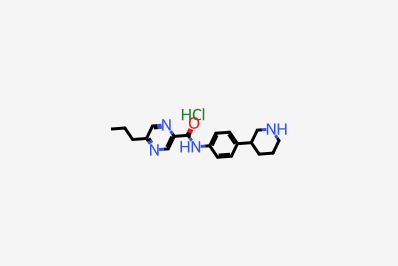 CCCc1cnc(C(=O)Nc2ccc(C3CCCNC3)cc2)cn1.Cl